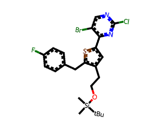 CC(C)(C)[Si](C)(C)OCCc1cc(-c2nc(Cl)ncc2Br)sc1Cc1ccc(F)cc1